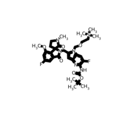 COc1cc(F)cc2c1C1(CCN(C)C1=O)N(Cc1cc3nc(NC(=O)OC(C)(C)C)c(F)cc3n1COCC[Si](C)(C)C)C2=O